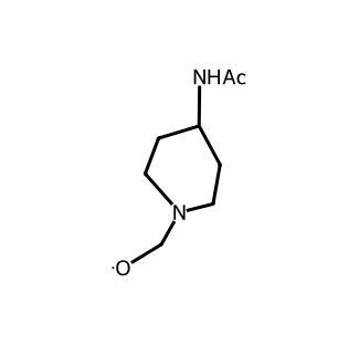 CC(=O)NC1CCN(C[O])CC1